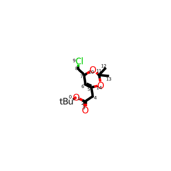 CC(C)(C)OC(=O)CC1=CC(CCl)OC(C)(C)O1